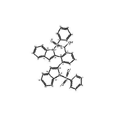 O=S(=O)(c1ccccc1)n1c(-c2cccc(CO)c2-c2cc3ccccc3n2S(=O)(=O)c2ccccc2)cc2ccccc21